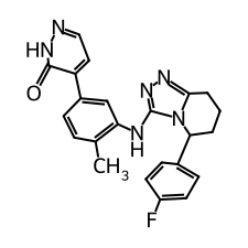 Cc1ccc(-c2ccn[nH]c2=O)cc1Nc1nnc2n1C(c1ccc(F)cc1)CCC2